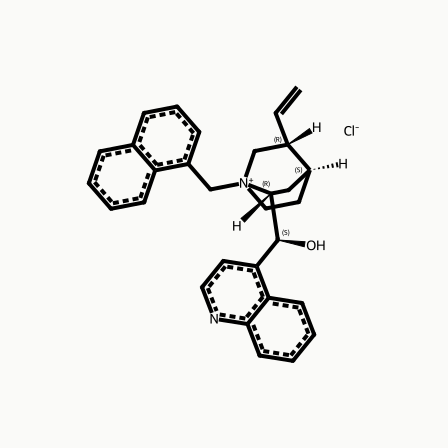 C=C[C@H]1C[N+]2(Cc3cccc4ccccc34)CC[C@H]1C[C@@H]2[C@@H](O)c1ccnc2ccccc12.[Cl-]